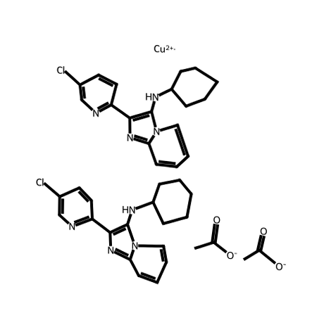 CC(=O)[O-].CC(=O)[O-].Clc1ccc(-c2nc3ccccn3c2NC2CCCCC2)nc1.Clc1ccc(-c2nc3ccccn3c2NC2CCCCC2)nc1.[Cu+2]